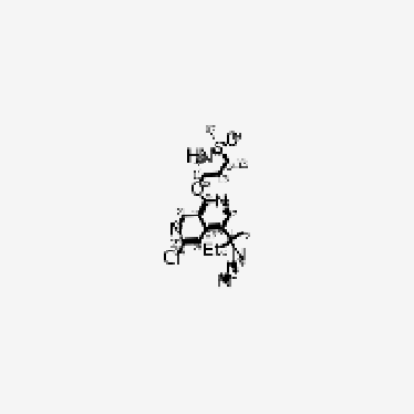 CCC(C)(N=[N+]=[N-])c1cnc(O[C@H](C)C[C@@H](C)[S@@](C)(=N)=O)c2cnc(Cl)cc12